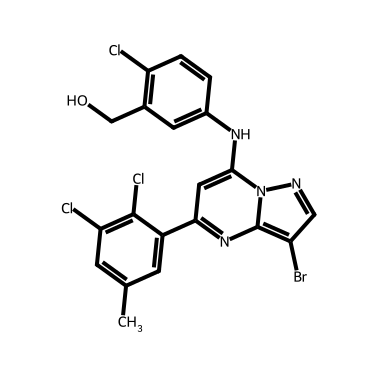 Cc1cc(Cl)c(Cl)c(-c2cc(Nc3ccc(Cl)c(CO)c3)n3ncc(Br)c3n2)c1